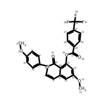 COc1ccc(-n2ccc3cc(OC)cc(OC(=O)c4ccc(C(F)(F)F)cc4)c3c2=O)cc1